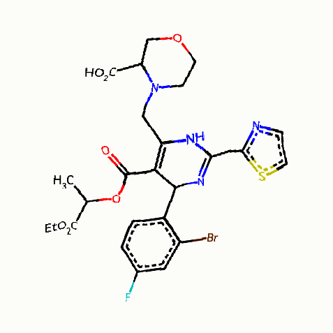 CCOC(=O)C(C)OC(=O)C1=C(CN2CCOCC2C(=O)O)NC(c2nccs2)=NC1c1ccc(F)cc1Br